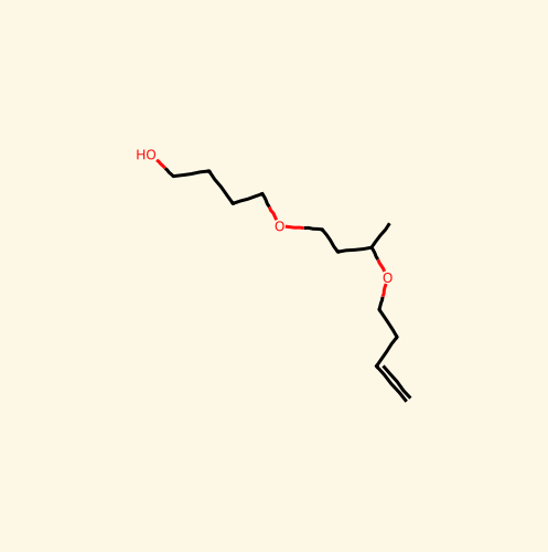 C=CCCOC(C)CCOCCCCO